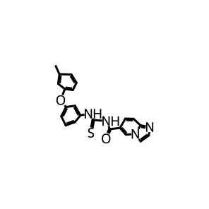 Cc1cccc(Oc2cccc(NC(=S)NC(=O)c3ccc4nccn4c3)c2)c1